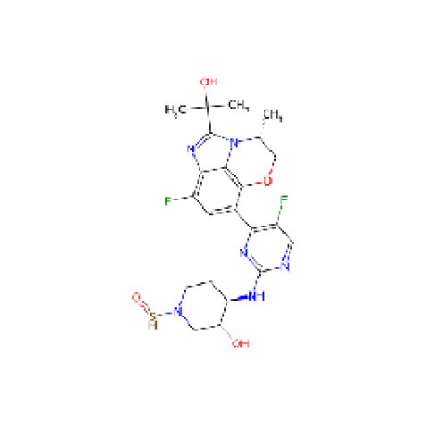 C[C@@H]1COc2c(-c3nc(N[C@@H]4CCN([SH]=O)C[C@H]4O)ncc3F)cc(F)c3nc(C(C)(C)O)n1c23